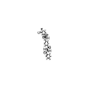 O=C(NNC(=O)c1ccc(CNS(=O)(=O)c2ccc(F)c(Cl)c2)cc1)c1ccccc1